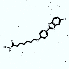 O=C(CCCCCCOc1ccc(-c2nc3cc(Cl)ccc3s2)cc1)NO